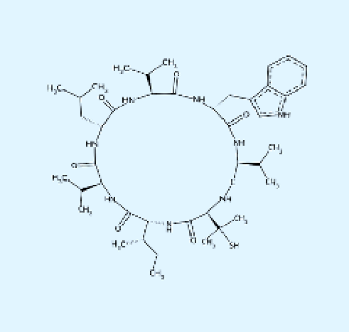 CC[C@H](C)[C@H]1NC(=O)[C@H](C(C)(C)S)NC[C@H](C(C)C)NC(=O)[C@@H](Cc2c[nH]c3ccccc23)NC(=O)[C@H](C(C)C)NC(=O)[C@@H](CC(C)C)NC(=O)[C@H](C(C)C)NC1=O